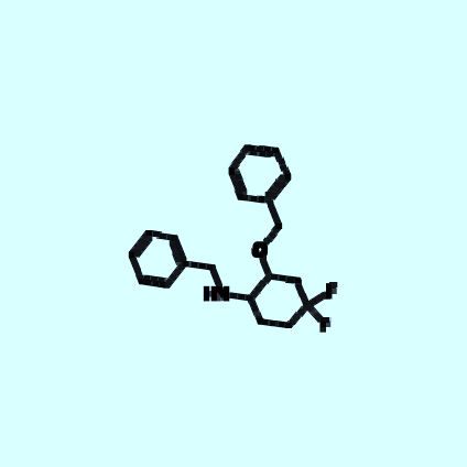 FC1(F)CCC(NCc2ccccc2)C(OCc2ccccc2)C1